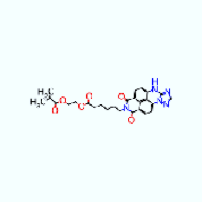 C=C(C)C(=O)OCCOC(=O)CCCCCn1c(=O)c2ccc3[nH]c4ncnn4c4ccc(c1=O)c2c34